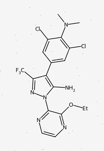 CCOc1nccnc1-n1nc(C(F)(F)F)c(-c2cc(Cl)c(N(C)C)c(Cl)c2)c1N